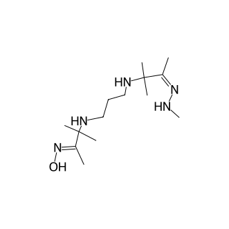 CNN=C(C)C(C)(C)NCCCNC(C)(C)C(C)=NO